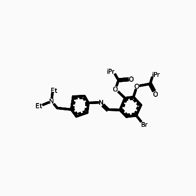 CCN(CC)Cc1ccc(N=Cc2cc(Br)cc(OC(=O)C(C)C)c2OC(=O)C(C)C)cc1